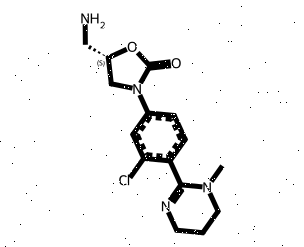 CN1CCCN=C1c1ccc(N2C[C@H](CN)OC2=O)cc1Cl